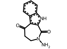 NN1CCC(=O)c2c([nH]c3ccccc23)C1=O